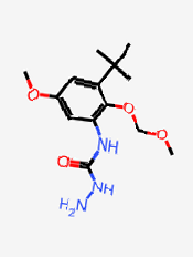 COCOc1c(NC(=O)NN)cc(OC)cc1C(C)(C)C